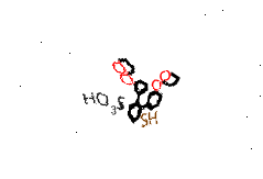 CS(=O)(=O)O.Sc1cccc(-c2cccc(OC3CCCCO3)c2)c1-c1cccc(OC2CCCCO2)c1